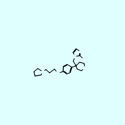 CSc1nccn1CC1(c2ccc(OCCCN3CCCC3)cc2)CCOCC1